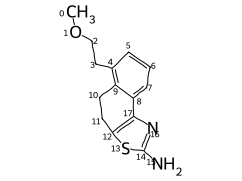 COCCc1cccc2c1CCc1sc(N)nc1-2